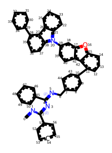 C=N/C(=N\C(=N/Cc1ccc(-c2cccc3oc4cc(-n5c6ccccc6c6c(-c7ccccc7)cccc65)ccc4c23)cc1)c1ccccc1)c1ccccc1